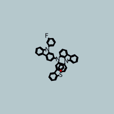 Fc1cccc(-n2c3ccccc3c3ccc(N(c4ccc5sc6ccccc6c5c4)c4cccc5c6ccccc6n(-c6ccccc6)c45)cc32)c1